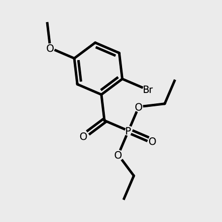 CCOP(=O)(OCC)C(=O)c1cc(OC)ccc1Br